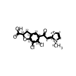 CN1C=CSC1=CC(=O)c1cc2c(c(Cl)c1Cl)OC(C(=O)O)C2